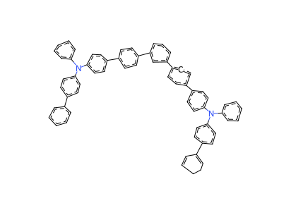 C1=CC(c2ccc(N(c3ccccc3)c3ccc(-c4ccc(-c5cccc(-c6ccc(-c7ccc(N(c8ccccc8)c8ccc(-c9ccccc9)cc8)cc7)cc6)c5)cc4)cc3)cc2)=CCC1